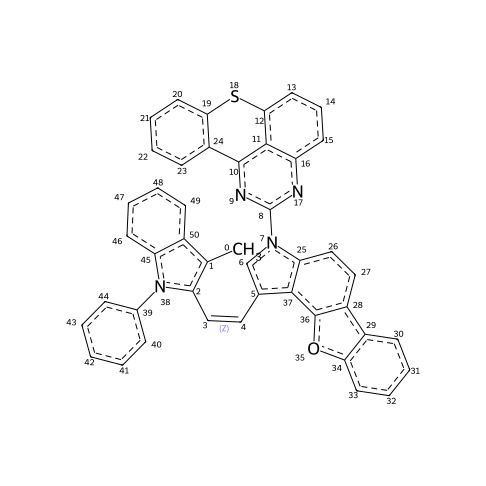 Cc1c(/C=C\c2cn(-c3nc4c5c(cccc5n3)Sc3ccccc3-4)c3ccc4c5ccccc5oc4c23)n(-c2ccccc2)c2ccccc12